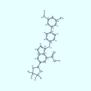 COC(=O)c1cc(B2OC(C)(C)C(C)(C)O2)cc2cnn(Cc3cnc(-c4cc(F)cc(OC)c4)nc3)c12